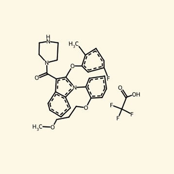 COCCCOc1ccccc1-n1c(Oc2cc(F)ccc2C)c(C(=O)N2CCNCC2)c2ccccc21.O=C(O)C(F)(F)F